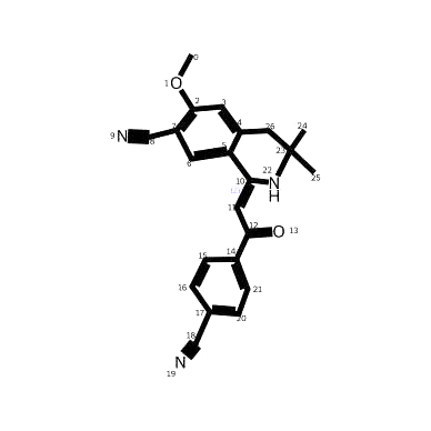 COc1cc2c(cc1C#N)/C(=C/C(=O)c1ccc(C#N)cc1)NC(C)(C)C2